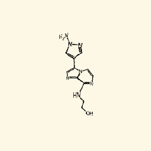 Nn1cc(-c2cnc3c(NCCO)nccn23)cn1